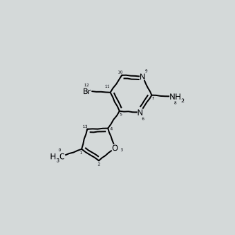 Cc1coc(-c2nc(N)ncc2Br)c1